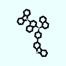 c1ccc2c(N(c3ccc(-c4ccc5oc6ccccc6c5c4)cc3)c3ccc(-n4c5ccccc5c5ccccc54)c4ccccc34)cccc2c1